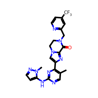 Cc1cnc(Nc2ccnn2C)nc1-c1cn2c(n1)C(=O)N(Cc1cc(C(F)(F)F)ccn1)CC2